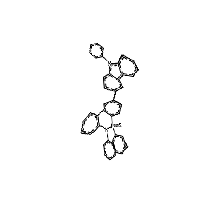 S=P1(c2ccccc2)c2ccc(-c3ccc4c(c3)c3ccccc3n4-c3ccccc3)cc2-c2ccccc2N1c1ccccc1